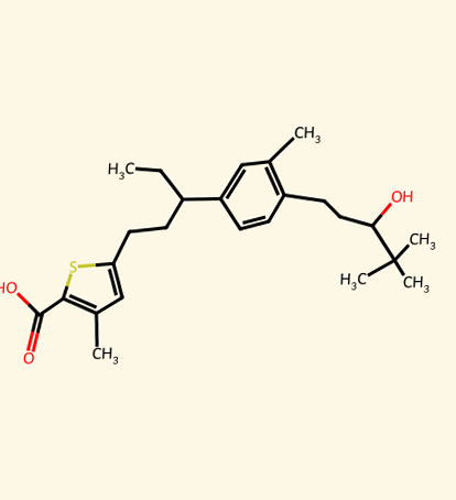 CCC(CCc1cc(C)c(C(=O)O)s1)c1ccc(CCC(O)C(C)(C)C)c(C)c1